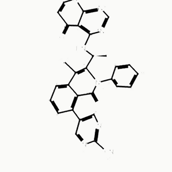 C[C@H](Nc1ncnc2[nH]ccc(=O)c12)c1c(Cl)c2cccc(-c3cnc(C#N)nc3)c2c(=O)n1-c1ccccc1